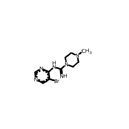 CN1CCN(C(=N)Nc2ncncc2Br)CC1